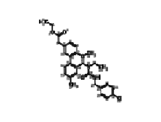 CCOC(=O)Cc1ccc(OC)c(-c2ccc(C)cc2CN(CC)C(=O)NCc2ccc(Cl)nc2)c1